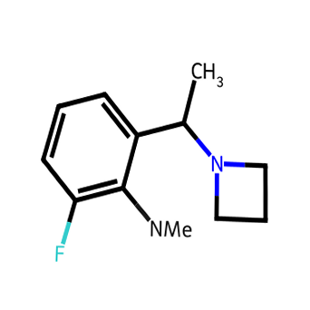 CNc1c(F)cccc1C(C)N1CCC1